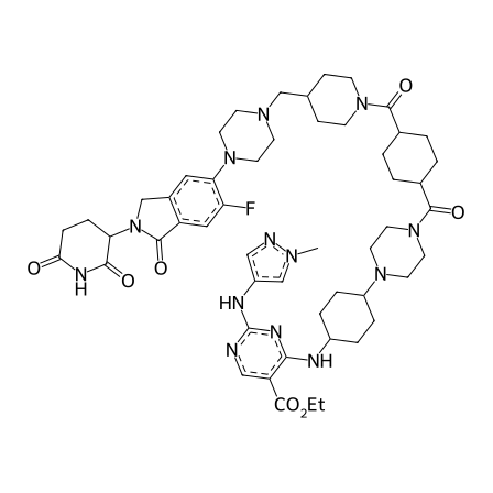 CCOC(=O)c1cnc(Nc2cnn(C)c2)nc1NC1CCC(N2CCN(C(=O)C3CCC(C(=O)N4CCC(CN5CCN(c6cc7c(cc6F)C(=O)N(C6CCC(=O)NC6=O)C7)CC5)CC4)CC3)CC2)CC1